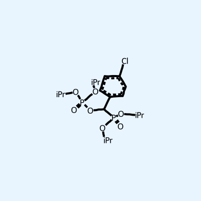 CC(C)OP(=O)(OC(C)C)OC(c1ccc(Cl)cc1)P(=O)(OC(C)C)OC(C)C